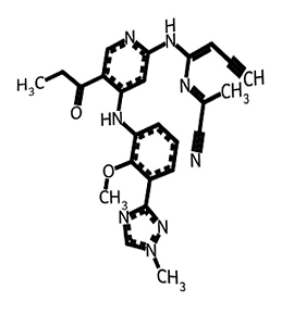 C#C/C=C(\N=C(/C)C#N)Nc1cc(Nc2cccc(-c3ncn(C)n3)c2OC)c(C(=O)CC)cn1